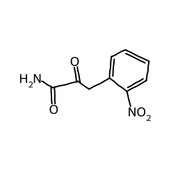 NC(=O)C(=O)Cc1ccccc1[N+](=O)[O-]